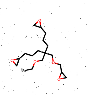 CCC(C)COCC(CCCC1CO1)(CCCC1CO1)COCC1CO1